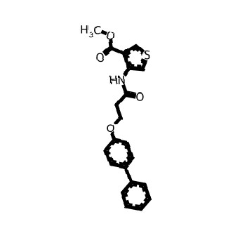 COC(=O)c1cscc1NC(=O)CCOc1ccc(-c2ccccc2)cc1